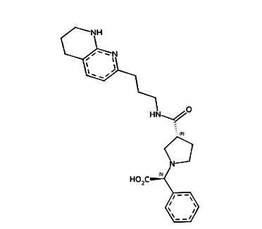 O=C(NCCCc1ccc2c(n1)NCCC2)[C@@H]1CCN([C@H](C(=O)O)c2ccccc2)C1